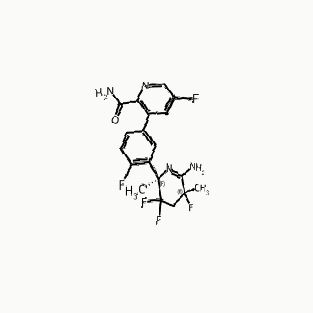 C[C@@]1(F)CC(F)(F)[C@@](C)(c2cc(-c3cc(F)cnc3C(N)=O)ccc2F)N=C1N